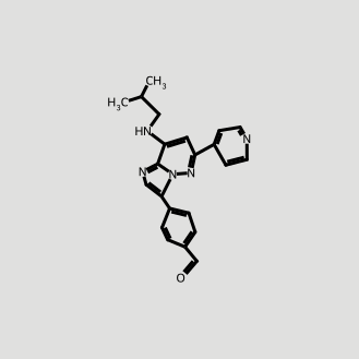 CC(C)CNc1cc(-c2ccncc2)nn2c(-c3ccc(C=O)cc3)cnc12